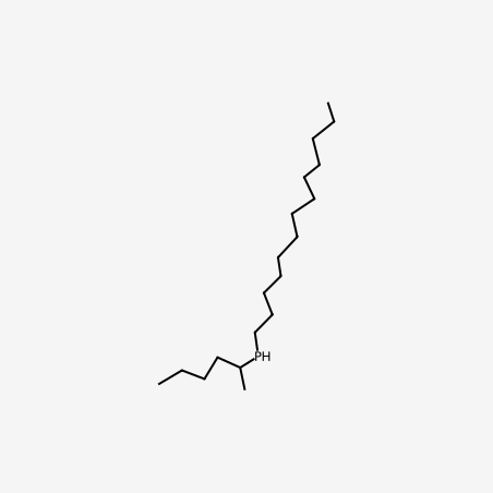 CCCCCCCCCCCCCPC(C)CCCC